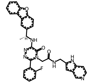 C[C@@H](Nc1nnc(-c2ccccc2F)n(CC(=O)NCc2cc3cnccc3[nH]2)c1=O)c1ccc2oc3ccccc3c2c1